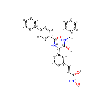 O=C(C=Cc1cccc(C(NC(=O)c2ccc(-c3ccccc3)cc2)C(=O)NCc2ccccc2)c1)NO